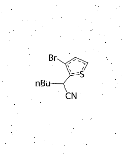 CCCCC(C#N)c1sccc1Br